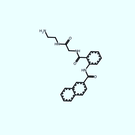 NCCNC(=O)CNC(=O)c1ccccc1NC(=O)c1ccc2ccccc2c1